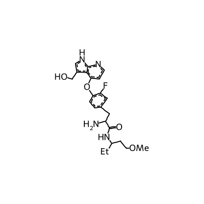 CCC(CCOC)NC(=O)C(N)Cc1ccc(Oc2ccnc3[nH]cc(CO)c23)c(F)c1